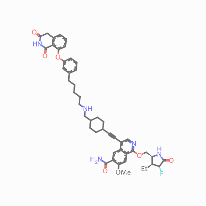 CC[C@@H]1[C@H](F)C(=O)N[C@@H]1COc1ncc(C#CC2CCC(CNCCCCCc3cccc(Oc4cccc5c4C(=O)NC(=O)C5)c3)CC2)c2cc(C(N)=O)c(OC)cc12